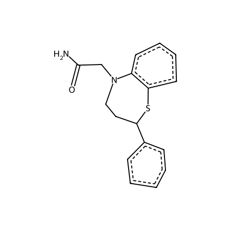 NC(=O)CN1CCC(c2ccccc2)Sc2ccccc21